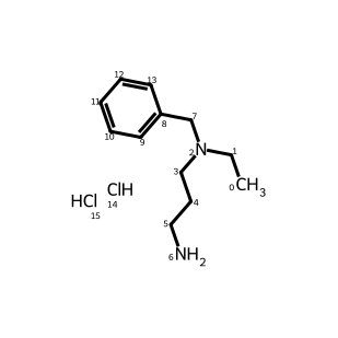 CCN(CCCN)Cc1ccccc1.Cl.Cl